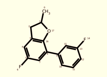 CC1Cc2cc(F)cc(-c3cccc(F)c3)c2O1